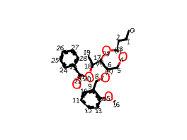 CCC[C@H]1OC[C@@H](OCc2ccccc2OC)[C@@H](C(C)OC(=O)c2ccccc2)O1